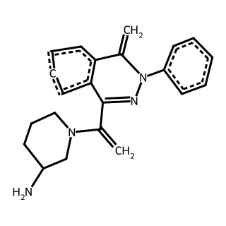 C=C(C1=NN(c2ccccc2)C(=C)c2ccccc21)N1CCCC(N)C1